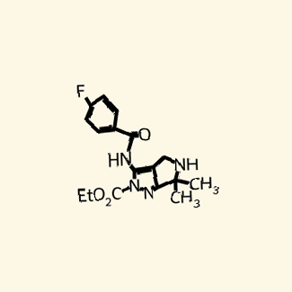 CCOC(=O)n1nc2c(c1NC(=O)c1ccc(F)cc1)CNC2(C)C